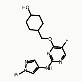 CC(C)n1cc(Nc2ncc(F)c(OCC3CCC(O)CC3)n2)cn1